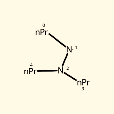 CCC[N]N(CCC)CCC